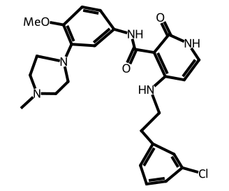 COc1ccc(NC(=O)c2c(NCCc3cccc(Cl)c3)cc[nH]c2=O)cc1N1CCN(C)CC1